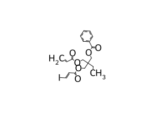 C=CC(=O)OCC(CC)(COC(=O)/C=C/I)COC(=O)c1ccccc1